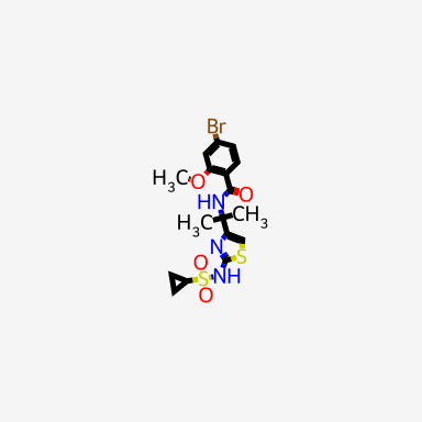 COc1cc(Br)ccc1C(=O)NC(C)(C)c1csc(NS(=O)(=O)C2CC2)n1